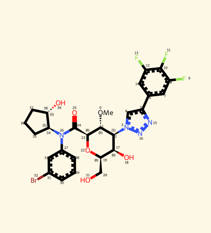 CO[C@@H]1[C@@H](n2cc(-c3cc(F)c(F)c(F)c3)nn2)[C@@H](O)[C@@H](CO)O[C@H]1C(=O)N(c1cccc(Br)c1)[C@H]1CCC[C@@H]1O